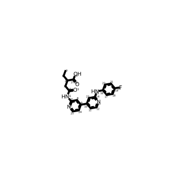 CCC(CC(=O)Nc1cc(-c2ccnc(Nc3ccc(F)cc3)c2)ccn1)C(=O)O